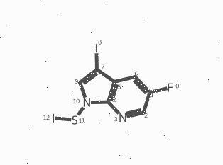 Fc1cnc2c(c1)c(I)cn2SI